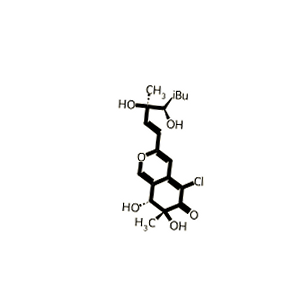 CC[C@H](C)[C@@H](O)[C@](C)(O)/C=C/C1=CC2=C(Cl)C(=O)[C@](C)(O)[C@H](O)C2=CO1